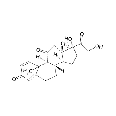 CC12C=CC(=O)C=C1CC[C@@H]1[C@@H]2C(=O)C[C@@]2(C)[C@H]1CC[C@]2(O)C(=O)CO